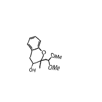 COC(OC)C1(C)Oc2ccccc2CC1O